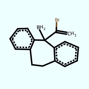 BC1(C(=C)Br)c2ccccc2CCc2ccccc21